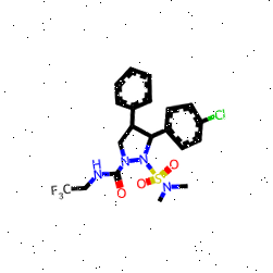 CN(C)S(=O)(=O)N1C(c2ccc(Cl)cc2)C(c2ccccc2)CN1C(=O)NCC(F)(F)F